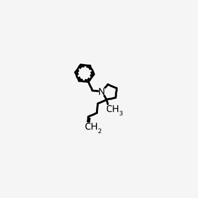 C=CCCC1(C)CCCN1Cc1ccccc1